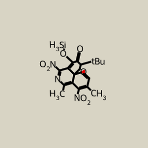 CC1=C([N+](=O)[O-])C2=C(C)N=C([N+](=O)[O-])C3=C(O[SiH3])C(=O)C(C(C)(C)C)C(=O)C23C=C1